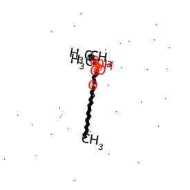 CCCCCCCCCCCCCCCOCCCOP(=O)(O)COC(C)(C)C